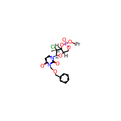 CC(C)OP1(=O)OC[C@H]2O[C@@H](n3ccc(=O)n(COCc4ccccc4)c3=O)[C@](C)(Cl)[C@@H]2O1